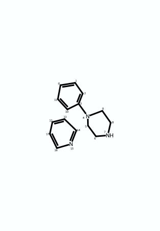 c1ccc(N2CCNCC2)cc1.c1ccncc1